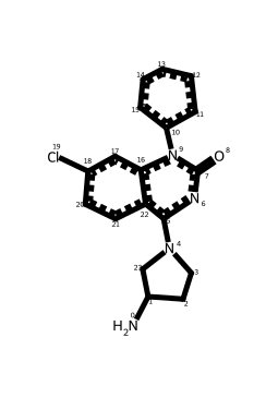 NC1CCN(c2nc(=O)n(-c3ccccc3)c3cc(Cl)ccc23)C1